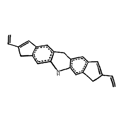 C=CC1=Cc2cc3c(cc2C1)Nc1cc2c(cc1C3)C=C(C=C)C2